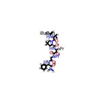 C=C(N[C@H](C(=O)N1CC(C)(C)C[C@H]1C(=O)N[C@@H](CCC)C(=O)C(=O)NCC(=O)N[C@H](C(=O)N(C)C)c1ccccc1)C(C)(C)OC)OCC(C)C